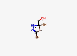 OCC1(S)NN=C(S)S1